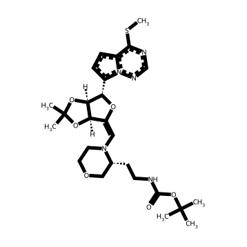 CSc1ncnn2c([C@@H]3O/C(=C/N4CCOC[C@H]4CCNC(=O)OC(C)(C)C)[C@H]4OC(C)(C)O[C@H]43)ccc12